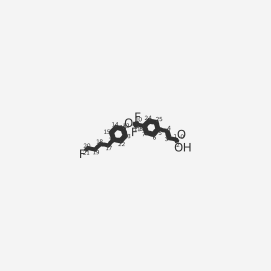 O=C(O)C=Cc1ccc(C(F)(F)Oc2ccc(CCCCF)cc2)cc1